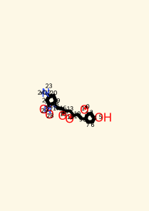 COc1cc(O)ccc1C=CC(=O)CC(=O)C=Cc1ccc(N(C)C)cc1[N+](=O)[O-]